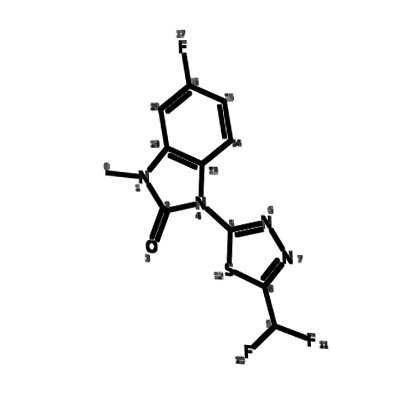 Cn1c(=O)n(-c2nnc(C(F)F)s2)c2ccc(F)cc21